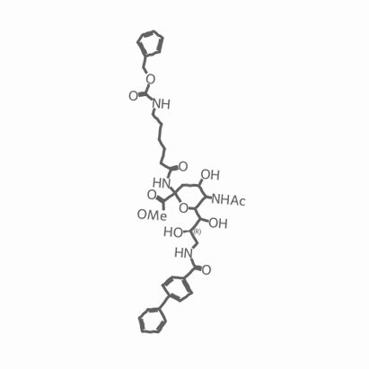 COC(=O)C1(NC(=O)CCCCCNC(=O)OCc2ccccc2)CC(O)C(NC(C)=O)C(C(O)[C@H](O)CNC(=O)c2ccc(-c3ccccc3)cc2)O1